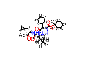 CC(=O)C(=O)[C@H](CC1CC1)NC(=O)[C@@H]1[C@@H]2[C@H](CN1C(=O)[C@@H](NC(=O)OC1(C)CCCCC1)C1CCCCC1)C2(C)C